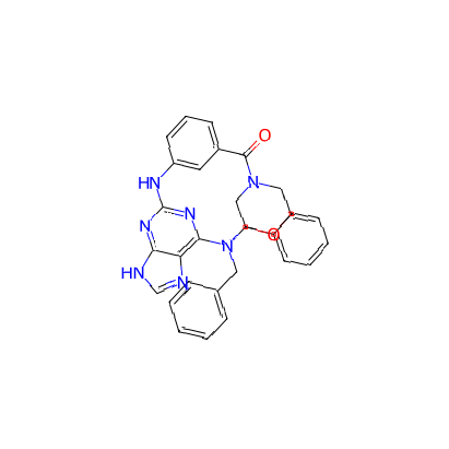 O=C(c1cccc(Nc2nc(N(Cc3ccccc3)Cc3ccccc3)c3nc[nH]c3n2)c1)N1CCOCC1